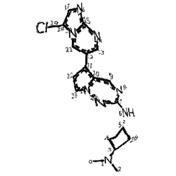 CN(C)[C@H]1C[C@H](Nc2ncc3c(-c4cnc5ncc(Cl)n5c4)ccn3n2)C1